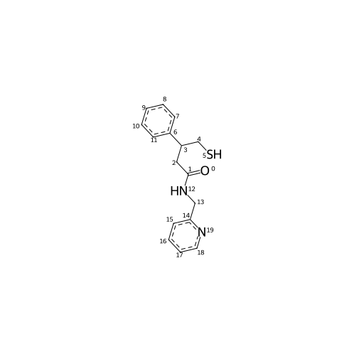 O=C(CC(CS)c1ccccc1)NCc1ccccn1